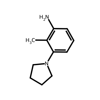 Cc1c(N)cccc1N1CCCC1